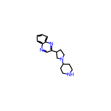 c1ccc2nc(C3CCN(C4CCNCC4)C3)cnc2c1